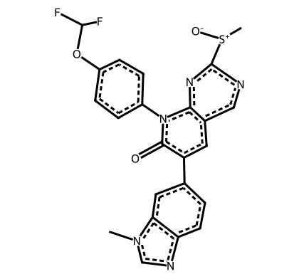 Cn1cnc2ccc(-c3cc4cnc([S+](C)[O-])nc4n(-c4ccc(OC(F)F)cc4)c3=O)cc21